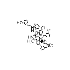 CCN(Cc1cccc(-c2ccnc(N(CCc3cccc(F)c3)C(c3ccc(C)c(-c4ccnc(NCCc5cccc(O)c5)n4)c3)N3C[C@H](C)NC[C@@H]3C)n2)c1)[C@H]1CCNC1